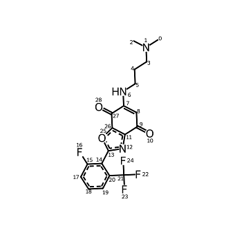 CN(C)CCCNC1=CC(=O)c2nc(-c3c(F)cccc3C(F)(F)F)oc2C1=O